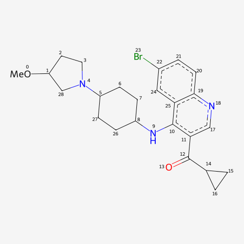 COC1CCN(C2CCC(Nc3c(C(=O)C4CC4)cnc4ccc(Br)cc34)CC2)C1